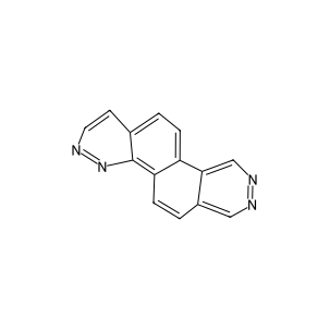 c1cc2ccc3c4cnncc4ccc3c2nn1